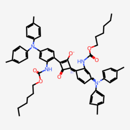 CCCCCCOC(=O)NC1=CC(=[N+](c2ccc(C)cc2)c2ccc(C)cc2)C=C/C1=C1\C(=O)C(c2ccc(N(c3ccc(C)cc3)c3ccc(C)cc3)cc2NC(=O)OCCCCCC)=C1[O-]